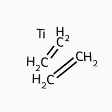 C=C.C=C.[Ti]